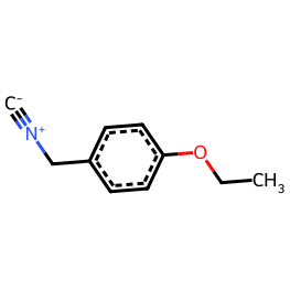 [C-]#[N+]Cc1ccc(OCC)cc1